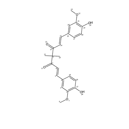 COc1cc(/C=C/C(=O)C(C)(C)C(=O)/C=C/c2ccc(O)c(OC)c2)ccc1O